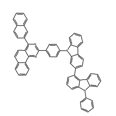 c1ccc(-n2c3ccccc3c3c(-c4ccc5c6ccccc6n(-c6ccc(-c7nc(-c8ccc9ccccc9c8)c8ccc9ccccc9c8n7)cc6)c5c4)cccc32)cc1